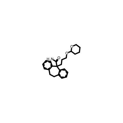 NC(=O)C1(CCCOC2CCCCO2)c2ccccc2CCc2ccccc21